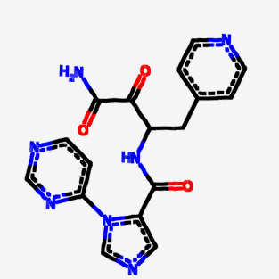 NC(=O)C(=O)C(Cc1ccncc1)NC(=O)c1cncn1-c1ccncn1